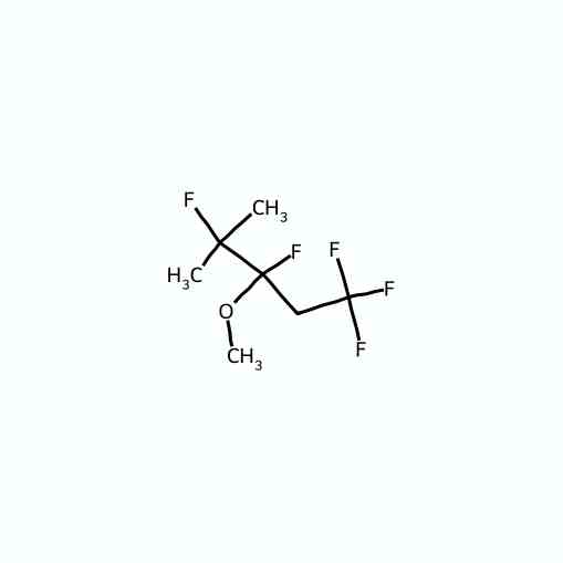 COC(F)(CC(F)(F)F)C(C)(C)F